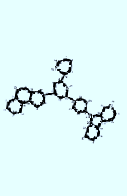 c1ccc(-c2cc(-c3ccc4c(ccc5ccccc54)c3)cc(-c3ccc(-n4c5ccccc5c5ccncc54)cc3)n2)nc1